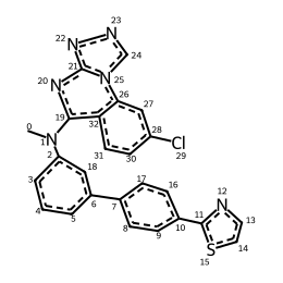 CN(c1cccc(-c2ccc(-c3nccs3)cc2)c1)c1nc2nncn2c2cc(Cl)ccc12